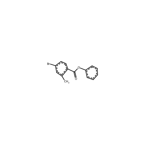 Cc1cc(Br)ccc1C(=O)Oc1ccccc1